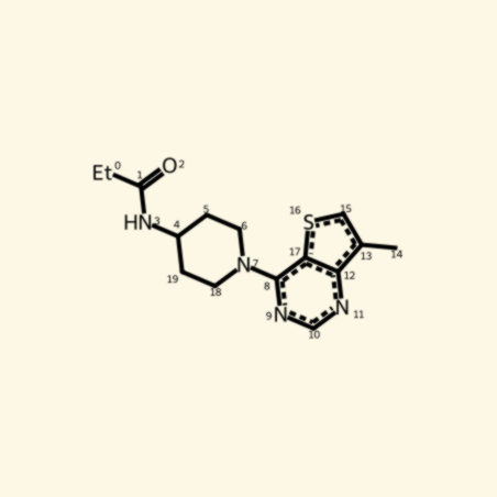 CCC(=O)NC1CCN(c2ncnc3c(C)csc23)CC1